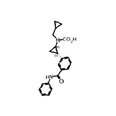 O=C(Nc1ccccc1)c1cccc([C@@H]2C[C@H]2N(CC2CC2)C(=O)O)c1